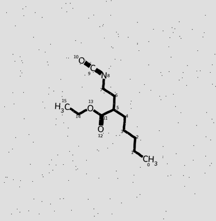 CCCCCC(CCN=C=O)C(=O)OCC